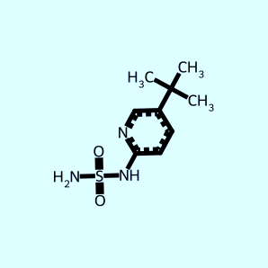 CC(C)(C)c1ccc(NS(N)(=O)=O)nc1